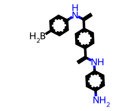 Bc1ccc(NC(=C)c2ccc(C(=C)Nc3ccc(N)cc3)cc2)cc1